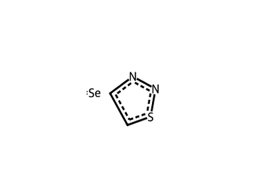 [Se].c1csnn1